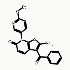 CCOc1ccc(-n2c(=O)ccc3c(C(=O)c4ccccc4)c(N)sc32)cn1